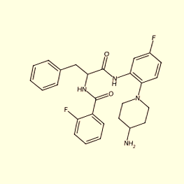 NC1CCN(c2ccc(F)cc2NC(=O)C(Cc2ccccc2)NC(=O)c2ccccc2F)CC1